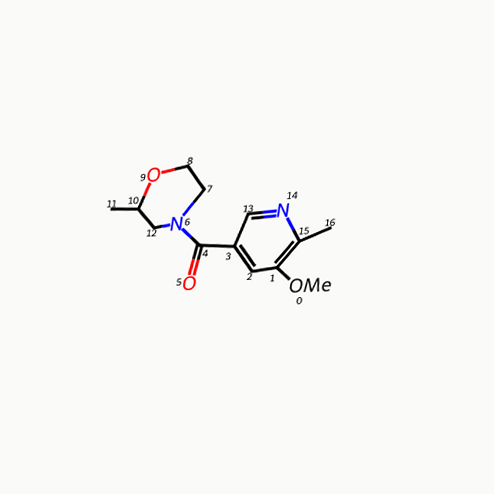 COc1cc(C(=O)N2CCOC(C)C2)cnc1C